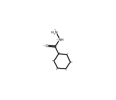 NNC(=O)C1CCCCC1